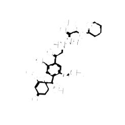 COc1cc(C(=O)CNNC(=O)[C@H](C)OC2CCCCO2)c(Cl)c2c1C(=O)[C@@]1(O2)C(O)=CC(=O)C[C@H]1C